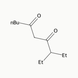 CCCCC(=O)CC(=O)C(CC)CC